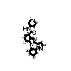 O=C(Nc1ccncc1)c1cccc2[nH]c(-c3ccnn3-c3ccccc3)nc12